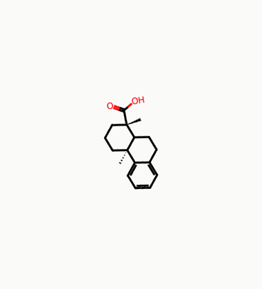 C[C@]1(C(=O)O)CCC[C@]2(C)c3ccccc3CCC12